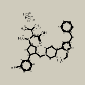 CCn1nc(Cc2ccccc2)cc1C1CCN(CC2CC(N(C)[C@H](C(=O)O)C(C)C)CC2c2cccc(F)c2)CC1.Cl.Cl.Cl